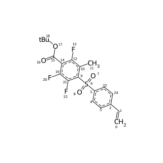 C=Cc1ccc(S(=O)(=O)c2c(C)c(F)c(C(=O)OC(C)(C)C)c(F)c2F)cc1